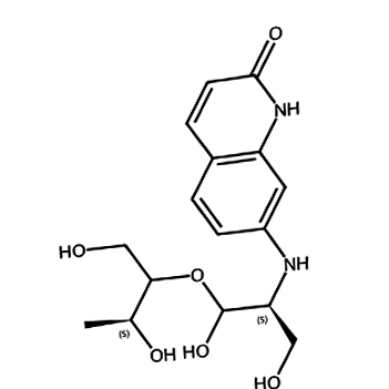 C[C@H](O)C(CO)OC(O)[C@H](CO)Nc1ccc2ccc(=O)[nH]c2c1